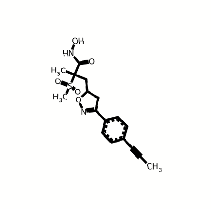 CC#Cc1ccc(C2=NOC(CC(C)(C(=O)NO)S(C)(=O)=O)C2)cc1